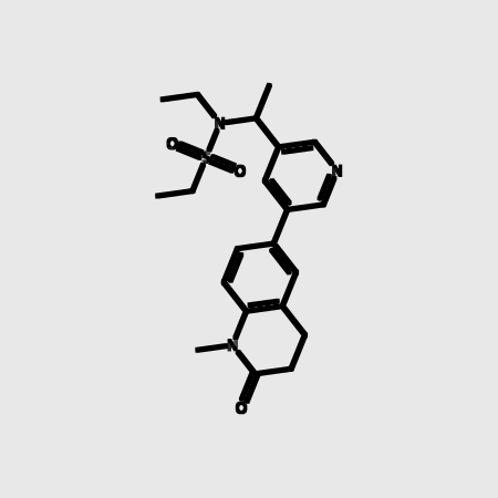 CCN(C(C)c1cncc(-c2ccc3c(c2)CCC(=O)N3C)c1)S(=O)(=O)CC